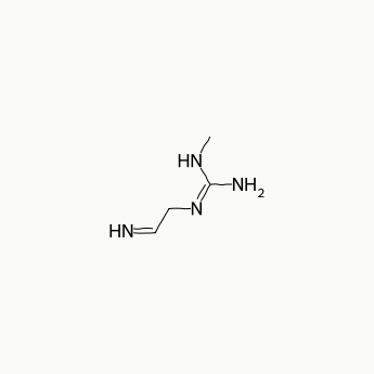 CN/C(N)=N\CC=N